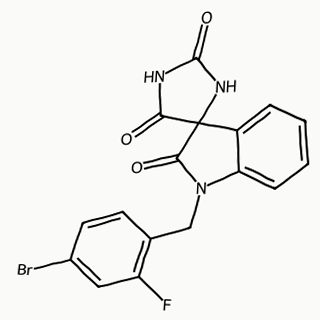 O=C1NC(=O)C2(N1)C(=O)N(Cc1ccc(Br)cc1F)c1ccccc12